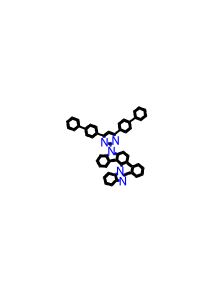 c1ccc(-c2ccc(-c3cc(-c4ccc(-c5ccccc5)cc4)nc(-n4c5ccccc5c5c4ccc4c6ccccc6c6nc7ccccc7n6c45)n3)cc2)cc1